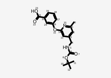 Cc1cc(CNC(=O)OC(C)(C)C)cc(Oc2cccc(C(=O)O)c2)n1